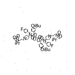 CC(C)COc1ccc(C(OC(=O)C(=O)OC(C(=O)N(Cc2ccc(F)cc2)C2CCN(CCCN3C(=O)OC[C@@H]3C(C)C)CC2)c2ccc(OCC(C)C)cc2)C(=O)N(Cc2ccc(F)cc2)C2CCN(CCCN3C(=O)OC[C@@H]3C(C)C)CC2)cc1